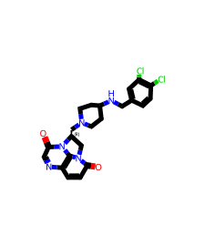 O=c1ccc2ncc(=O)n3c2n1C[C@H]3CN1CCC(NCc2ccc(Cl)c(Cl)c2)CC1